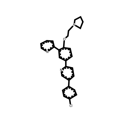 Clc1ccc(-c2ccc(-c3ccc(OCCN4CCCC4)c(-c4ccccn4)c3)nc2)cc1